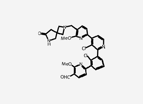 COc1nc(-c2cccc(-c3nccc(-c4ccc(CN5CC6(CNC(=O)C6)C5)c(OC)n4)c3Cl)c2Cl)ccc1C=O